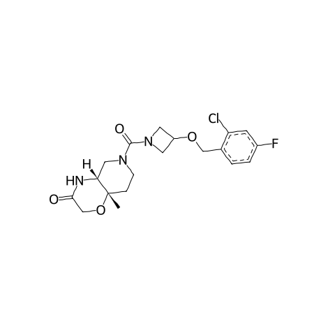 C[C@]12CCN(C(=O)N3CC(OCc4ccc(F)cc4Cl)C3)C[C@H]1NC(=O)CO2